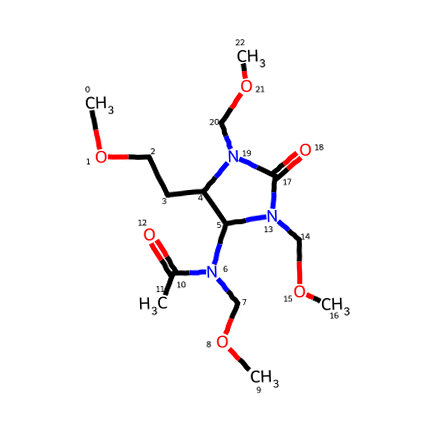 COCCC1C(N(COC)C(C)=O)N(COC)C(=O)N1COC